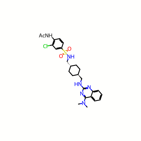 CC(=O)Nc1ccc(S(=O)(=O)NC[C@H]2CC[C@H](CNc3nc(N(C)C)c4ccccc4n3)CC2)cc1Cl